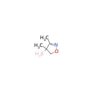 BC1(C)CON=C1C